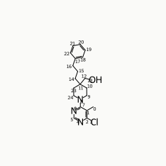 Cc1c(Cl)ncnc1N1CCC(CO)(CCCc2ccccc2)CC1